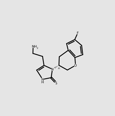 NCCc1c[nH]c(=S)n1[C@H]1COc2ccc(F)cc2C1